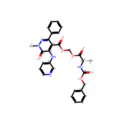 CCn1nc(-c2ccccc2)c(C(=O)OCOC(=O)[C@@H](NC(=O)OCc2ccccc2)C(C)C)c(Nc2cccnc2)c1=O